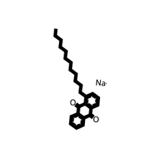 CCCCCCCCCCCCc1cccc2c1C(=O)c1ccccc1C2=O.[Na]